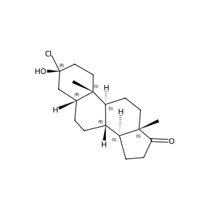 C[C@]12CC[C@@](O)(Cl)C[C@H]1CC[C@@H]1[C@@H]2CC[C@]2(C)C(=O)CC[C@@H]12